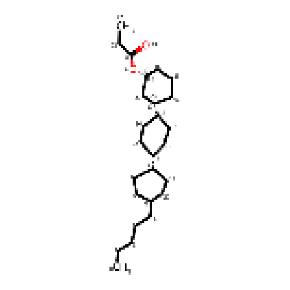 CCCCC[C@H]1CC[C@H](C2CCC([C@H]3CCC[C@@H](OC(=O)CC)C3)CC2)CC1